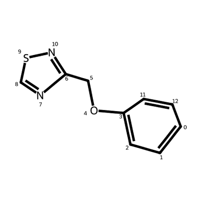 c1ccc(OCc2ncsn2)cc1